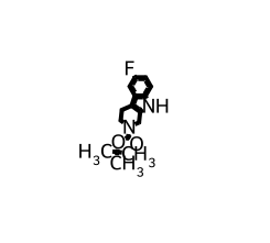 CC(C)(C)OC(=O)N1CCc2c([nH]c3ccc(F)cc23)C1